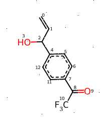 C=CC(O)c1ccc(C(=O)C(F)(F)F)cc1